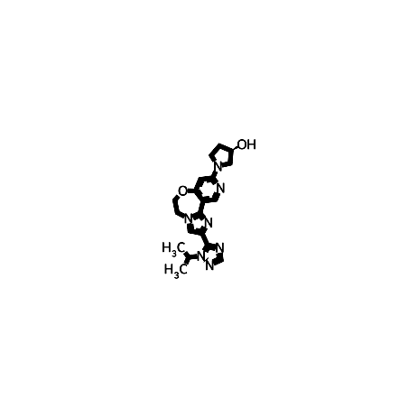 CC(C)n1ncnc1-c1cn2c(n1)-c1cnc(N3CC[C@H](O)C3)cc1OCC2